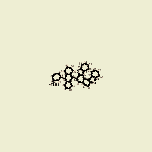 CC(C)(C)c1cccc(-c2c3ccccc3c(-c3cc4ccc5sc6ccccc6c5c4c4c3sc3ccccc34)c3ccccc23)c1